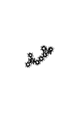 c1ccc(-c2nc(-c3ccccc3)nc(-c3cccc(-c4ccc(-c5ccc(-c6nc7ccccc7n6-c6ccccc6)nc5)cc4)c3)n2)cc1